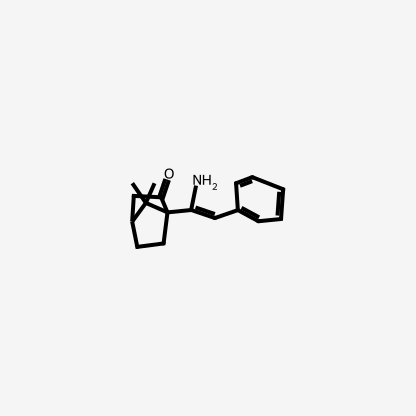 CC1(C)C2CCC1(C(N)=Cc1ccccc1)C(=O)C2